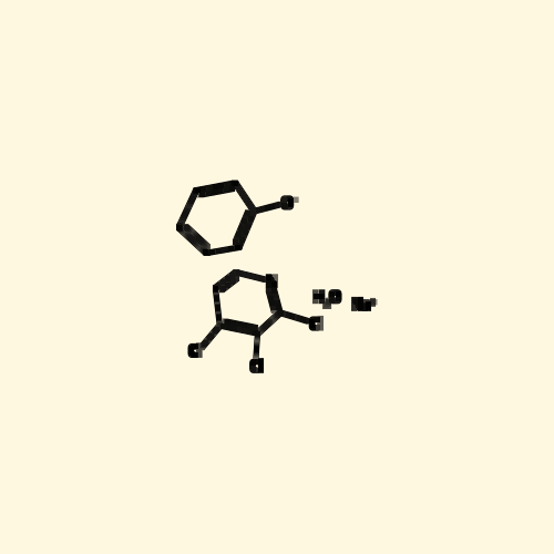 Clc1ccnc(Cl)c1Cl.O.[Na+].[O-]c1ccccc1